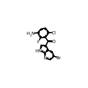 Nc1ccc(Cl)c(C(=O)c2c[nH]c3ncc(Br)cc23)c1F